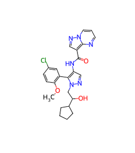 COc1ccc(Cl)cc1-c1c(NC(=O)c2cnn3cccnc23)cnn1CC(O)C1CCCC1